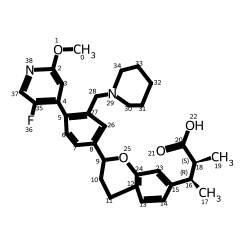 COc1cc(-c2ccc(C3CCc4ccc([C@H](C)[C@H](C)C(=O)O)cc4O3)cc2CN2CCCCC2)c(F)cn1